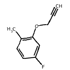 C#CCOc1cc(F)ccc1C